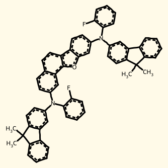 CC1(C)c2ccccc2-c2cc(N(c3ccc4c(c3)oc3c5cc(N(c6ccc7c(c6)-c6ccccc6C7(C)C)c6ccccc6F)ccc5ccc43)c3ccccc3F)ccc21